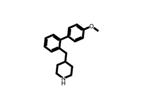 COc1ccc(-c2ccccc2CC2CCNCC2)cc1